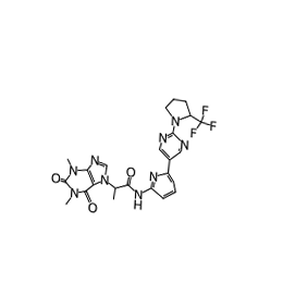 CC(C(=O)Nc1cccc(-c2cnc(N3CCCC3C(F)(F)F)nc2)n1)n1cnc2c1c(=O)n(C)c(=O)n2C